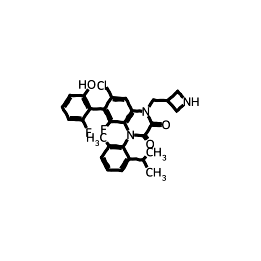 Cc1cccc(C(C)C)c1-n1c(=O)c(=O)n(CC2CNC2)c2cc(Cl)c(-c3c(O)cccc3F)c(F)c21